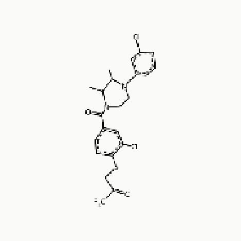 CC1C(C)N(c2cccc(Cl)c2)CCN1C(=O)c1ccc(SCC(=O)C(F)(F)F)c(Cl)c1